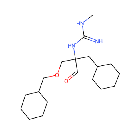 CNC(=N)NC(C=O)(COCC1CCCCC1)CC1CCCCC1